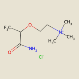 C[N+](C)(C)CCOC(C(N)=O)C(F)(F)F.[Cl-]